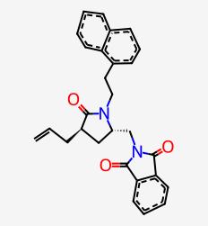 C=CC[C@@H]1C[C@@H](CN2C(=O)c3ccccc3C2=O)N(CCc2cccc3ccccc23)C1=O